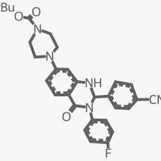 CC(C)(C)OC(=O)N1CCN(c2ccc3c(c2)NC(c2ccc(C#N)cc2)N(c2ccc(F)cc2)C3=O)CC1